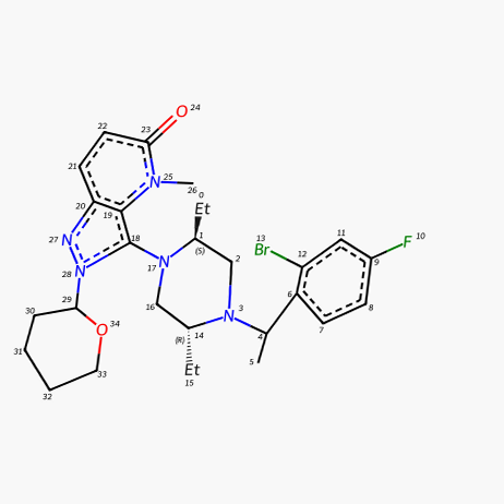 CC[C@H]1CN(C(C)c2ccc(F)cc2Br)[C@H](CC)CN1c1c2c(ccc(=O)n2C)nn1C1CCCCO1